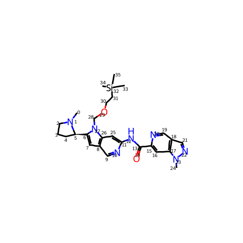 CN1CCC[C@@H]1c1cc2cnc(NC(=O)c3cc4c(cn3)cnn4C)cc2n1COCC[Si](C)(C)C